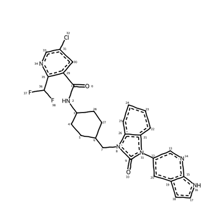 O=C(NC1CCC(Cn2c(=O)n(-c3cnc4[nH]ccc4c3)c3ccccc32)CC1)c1cc(Cl)cnc1C(F)F